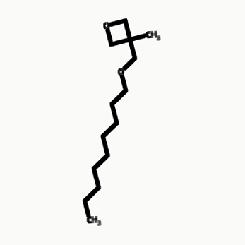 CCCCCCCCCOCC1(C)COC1